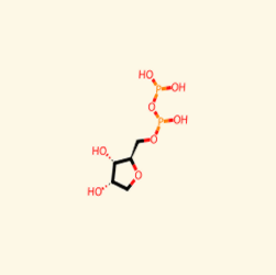 O[C@H]1[C@@H](O)CO[C@@H]1COP(O)OP(O)O